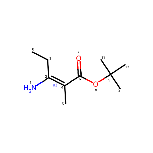 CC/C(N)=C(/C)C(=O)OC(C)(C)C